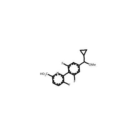 COC(c1cc(F)c(-c2nc(C(=O)O)ccc2F)c(F)c1)C1CC1